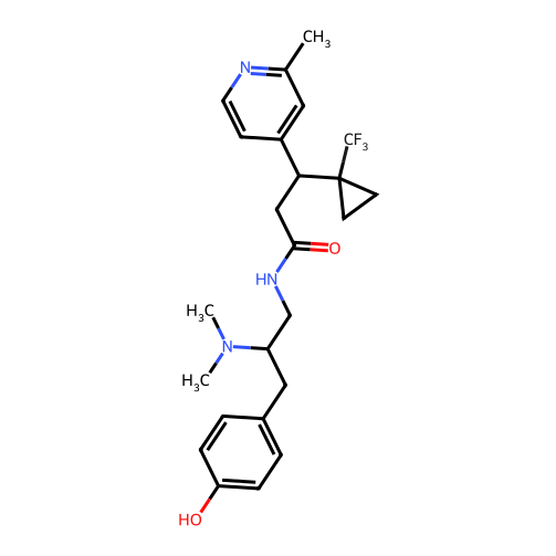 Cc1cc(C(CC(=O)NCC(Cc2ccc(O)cc2)N(C)C)C2(C(F)(F)F)CC2)ccn1